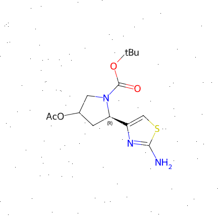 CC(=O)OC1C[C@H](c2csc(N)n2)N(C(=O)OC(C)(C)C)C1